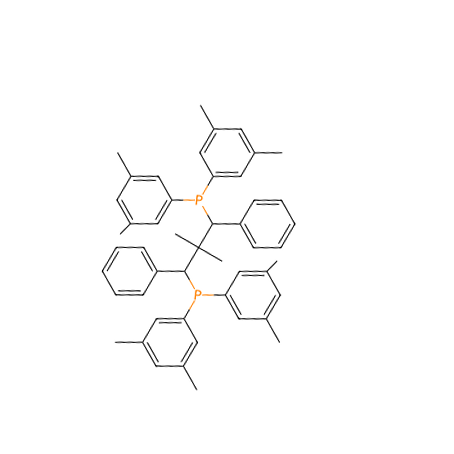 Cc1cc(C)cc(P(c2cc(C)cc(C)c2)C(c2ccccc2)C(C)(C)C(c2ccccc2)P(c2cc(C)cc(C)c2)c2cc(C)cc(C)c2)c1